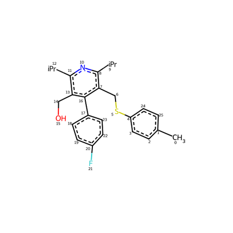 Cc1ccc(SCc2c(C(C)C)nc(C(C)C)c(CO)c2-c2ccc(F)cc2)cc1